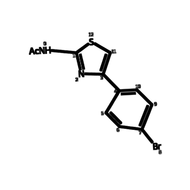 CC(=O)Nc1nc(-c2ccc(Br)cc2)cs1